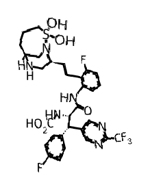 O=C(O)N[C@H](C(=O)Nc1cccc(F)c1CC[C@H]1CN[C@@H]2CCCS(O)(O)N1C2)[C@@H](c1ccc(F)cc1)c1cnc(C(F)(F)F)nc1